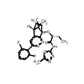 CC[C@@H](O[C@@]12CC[C@@H](c3cc(-c4c(F)cccc4F)nnc31)C2(C)C)C(=O)Nc1nnc(C)o1